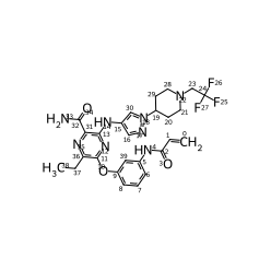 C=CC(=O)Nc1cccc(Oc2nc(Nc3cnn(C4CCN(CC(F)(F)F)CC4)c3)c(C(N)=O)nc2CC)c1